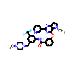 CN1CCN(Cc2cc(NC(=O)c3cccc(Oc4nc(-c5cccnc5)nc5ccn(C)c45)c3)cc(C(F)(F)F)c2)CC1